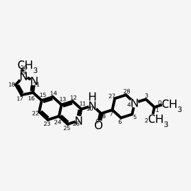 CC(C)CN1CCC(C(=O)Nc2cc3cc(-c4ccn(C)n4)ccc3cn2)CC1